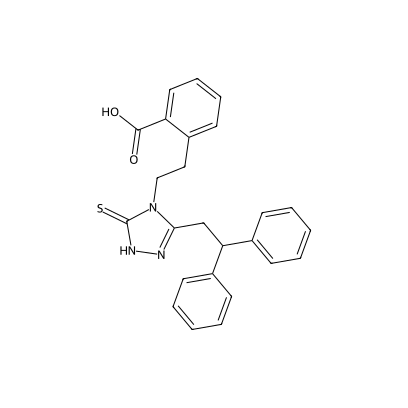 O=C(O)c1ccccc1CCn1c(CC(c2ccccc2)c2ccccc2)n[nH]c1=S